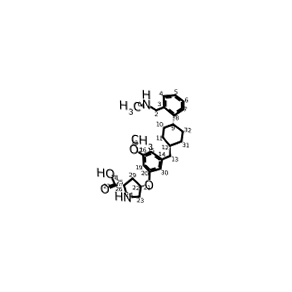 CNCc1ccccc1[C@H]1CC[C@H](Cc2cc(OC)cc(O[C@@H]3CN[C@H](C(=O)O)C3)c2)CC1